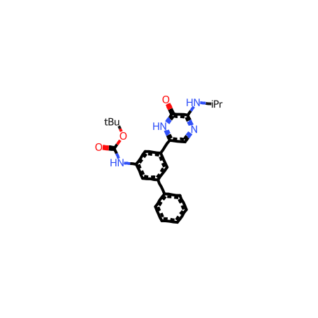 CC(C)Nc1ncc(-c2cc(NC(=O)OC(C)(C)C)cc(-c3ccccc3)c2)[nH]c1=O